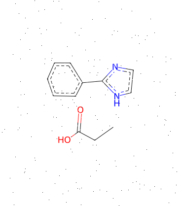 CCC(=O)O.c1ccc(-c2ncc[nH]2)cc1